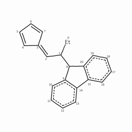 CCC(C=C1C=CC=C1)C1c2ccccc2-c2ccccc21